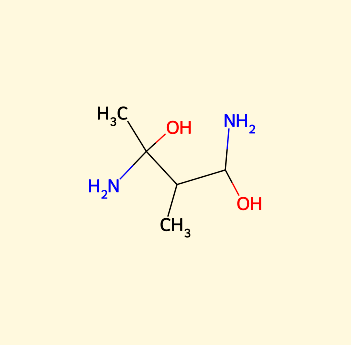 CC(C(N)O)C(C)(N)O